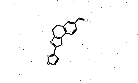 C=Cc1ccc2c(c1)CCc1nc(-c3ccon3)sc1-2